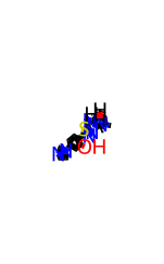 CN(c1nnc(-c2ccc(-n3ccnc3)cc2O)s1)[C@@H]1C[C@@]2(C)CC[C@@H]1CN2C